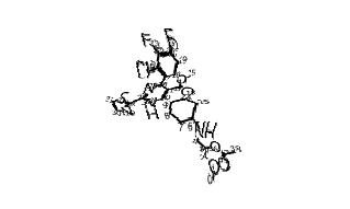 COC[C@@H](CN[C@H]1CC[C@H](C2=C(C(=O)OC)C(c3ccc(F)c(F)c3Cl)N=C(c3nccs3)N2)CC1)OC(C)=O